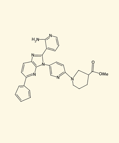 COC(=O)C1CCCN(c2ccc(-n3c(-c4cccnc4N)nc4ccc(-c5ccccc5)nc43)cn2)C1